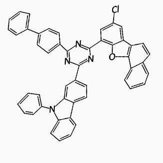 Clc1cc(-c2nc(-c3ccc(-c4ccccc4)cc3)nc(-c3ccc4c5ccccc5n(-c5ccccc5)c4c3)n2)c2oc3c4ccccc4ccc3c2c1